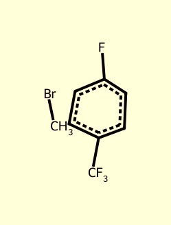 CBr.Fc1ccc(C(F)(F)F)cc1